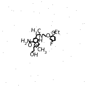 CCOc1ccc(F)cc1OCCN[C@H](C)Cc1cc(C(N)=O)c2c(c1)cc(C)n2CCCO